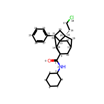 O=C(NC1CCCCC1)C12CC3CC4(C1)[C@](CCCl)(C3)C[C@@]4(c1ccccc1)C2